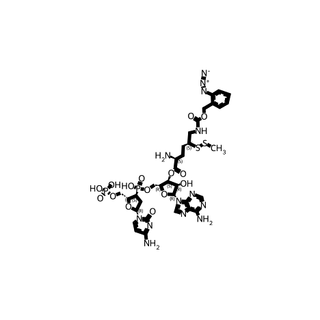 CSS[C@@H](CC[C@H](N)C(=O)O[C@H]1[C@@H](O)[C@H](n2cnc3c(N)ncnc32)O[C@@H]1COP(=O)(O)[C@H]1C[C@H](n2ccc(N)nc2=O)O[C@@H]1COP(=O)(O)O)CNC(=O)OCc1ccccc1N=[N+]=[N-]